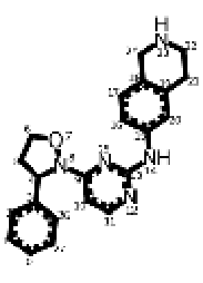 c1ccc(C2CCON2c2ccnc(Nc3ccc4c(c3)CCNC4)n2)cc1